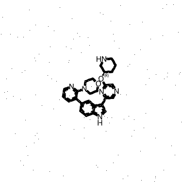 c1cnc(N2CCOCC2)c(-c2ccc3[nH]cc(-c4cncc(O[C@@H]5CCCNC5)n4)c3c2)c1